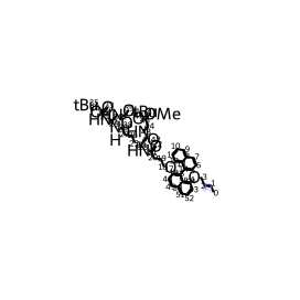 C/C=C/COc1ccc2ccccc2c1-c1c(OCCCC(=O)N[C@H](CCCCNC(NC(=O)OC(C)(C)C)NC(=O)OC(C)(C)C)C(=O)NCC(=O)OC)ccc2ccccc12